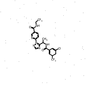 CC(NC(=O)C1=CC(C(F)(F)F)CC(Cl)=C1)c1ncnn1-c1ccc(C(=O)NCC(F)(F)F)cn1